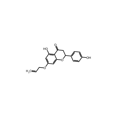 C=CCOc1cc(O)c2c(c1)OC(c1ccc(O)cc1)CC2=O